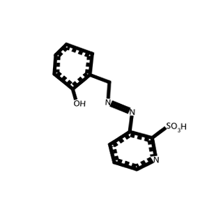 O=S(=O)(O)c1ncccc1N=NCc1ccccc1O